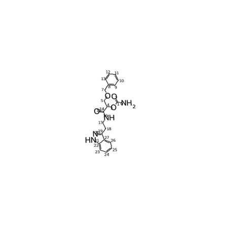 NC(=O)OC(COCc1ccccc1)C(=O)NCCc1n[nH]c2ccccc12